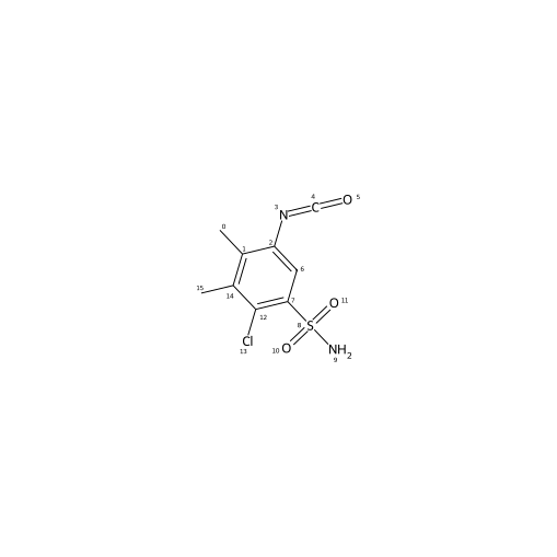 Cc1c(N=C=O)cc(S(N)(=O)=O)c(Cl)c1C